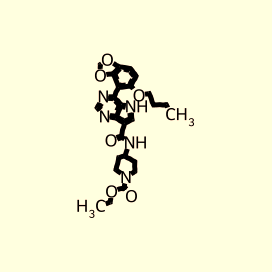 CCCCOc1ccc2c(c1-c1ncnc3c(C(=O)NC4CCN(C(=O)OCC)CC4)c[nH]c13)OCO2